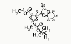 CCOC(=O)c1nc(N(C)C(=O)OC(C)(C)C)sc1CC(CBr)OC1CCCCO1